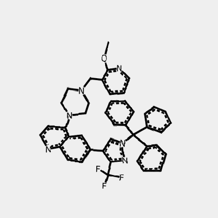 COc1ncccc1CN1CCN(c2ccnc3ccc(-c4cn(C(c5ccccc5)(c5ccccc5)c5ccccc5)nc4C(F)(F)F)cc23)CC1